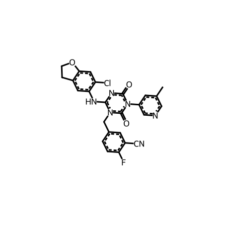 Cc1cncc(-n2c(=O)nc(Nc3cc4c(cc3Cl)OCC4)n(Cc3ccc(F)c(C#N)c3)c2=O)c1